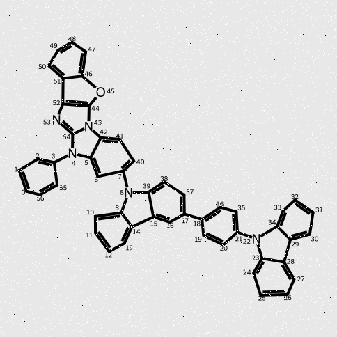 c1ccc(-n2c3cc(-n4c5ccccc5c5cc(-c6ccc(-n7c8ccccc8c8ccccc87)cc6)ccc54)ccc3n3c4oc5ccccc5c4nc23)cc1